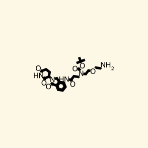 CC(C)(C)OC(=O)N(CCOCCN)CCC(=O)Nc1cccc2c1CN(C1CCC(=O)NC1=O)C2=O